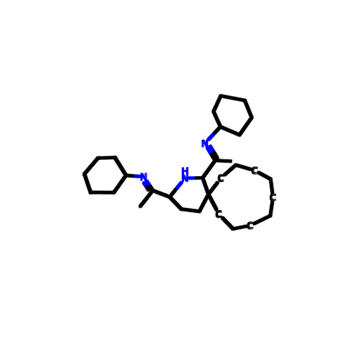 C/C(=N\C1CCCCC1)C1CCC2(CCCCCCCCC2)C(/C(C)=N/C2CCCCC2)N1